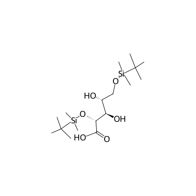 CC(C)(C)[Si](C)(C)OC[C@@H](O)[C@@H](O)[C@@H](O[Si](C)(C)C(C)(C)C)C(=O)O